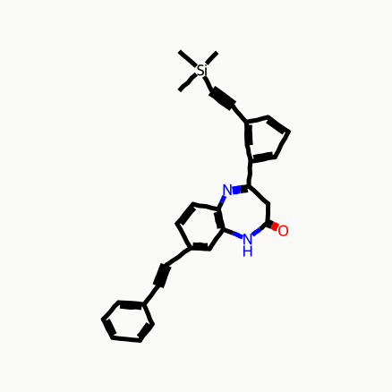 C[Si](C)(C)C#Cc1cccc(C2=Nc3ccc(C#Cc4ccccc4)cc3NC(=O)C2)c1